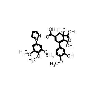 COc1cc(-n2cccn2)cc(OC)c1OC.COc1ccc(C2=C(CO)C(C)(C(=O)O)CC(C(=O)O)=C2)cc1O